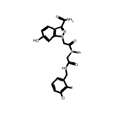 CC(C)N(CC(=O)NCc1cccc(Cl)c1F)C(=O)Cn1nc(C(N)=O)c2ccc(O)cc21